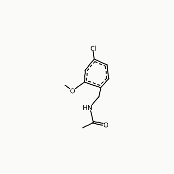 COc1cc(Cl)ccc1CNC(C)=O